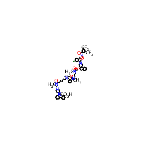 CN(CCCCCC(=O)N(C)CCN1CCC(N(C(=O)O)c2ccccc2-c2ccccc2)CC1)Cc1ccccc1C(=O)N(C)CCCN(C)C(=O)CO[C@H]1Cc2ccccc2C12CCN(CC[C@@]1(c3ccc(F)cc3)CN(C(=O)c3cc(C(F)(F)F)cc(C(F)(F)F)c3)CO1)CC2